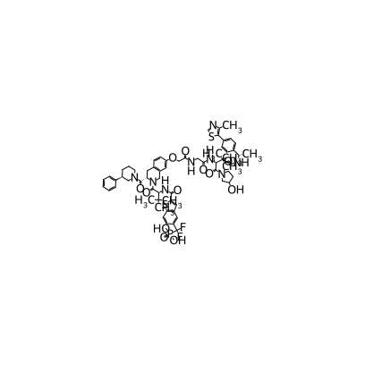 Cc1ncsc1-c1ccc([C@H](C)NC(=O)[C@@H]2C[C@@H](O)CN2C(=O)[C@@H](NC(=O)CNC(=O)COc2ccc3c(c2)CN(C(=O)[C@@H](NC(=O)c2cc4cc(C(F)(F)P(=O)(O)O)ccc4s2)C(C)(C)C)[C@H](C(=O)N2CCC[C@H](c4ccccc4)C2)C3)C(C)(C)C)cc1